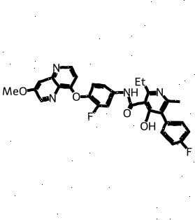 CCc1nc(C)c(-c2ccc(F)cc2)c(O)c1C(=O)Nc1ccc(Oc2ccnc3cc(OC)cnc23)c(F)c1